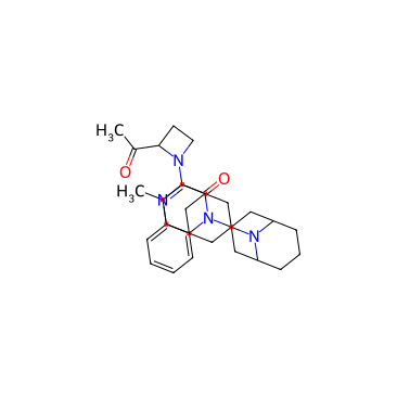 CC(=O)C1CCN1c1nc2ccccc2n(C2CC3CCCC(C2)N3C2CC3CC(C)CC(C3)C2)c1=O